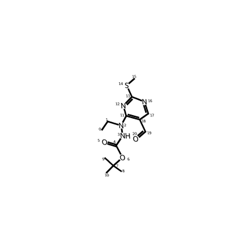 CCN(NC(=O)OC(C)(C)C)c1nc(SC)ncc1C=O